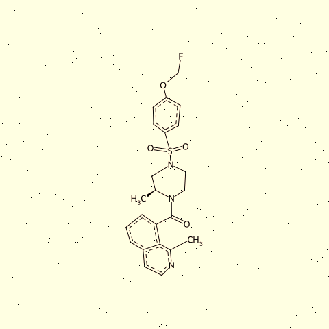 Cc1nccc2cccc(C(=O)N3CCN(S(=O)(=O)c4ccc(OCF)cc4)C[C@@H]3C)c12